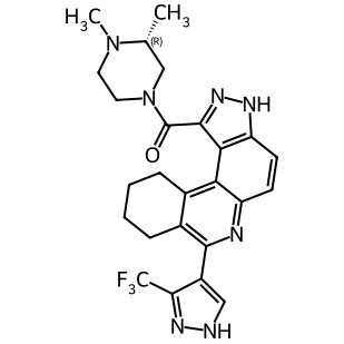 C[C@@H]1CN(C(=O)c2n[nH]c3ccc4nc(-c5c[nH]nc5C(F)(F)F)c5c(c4c23)CCCC5)CCN1C